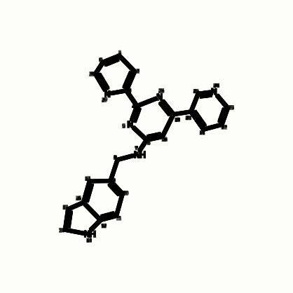 c1ccc(-c2nc(NCc3ccc4[nH]ccc4c3)cc(-c3cccnc3)n2)nc1